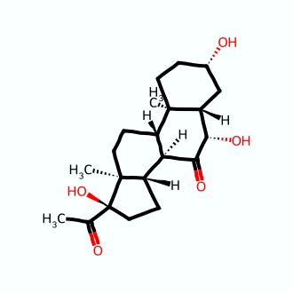 CC(=O)[C@@]1(O)CC[C@H]2[C@@H]3C(=O)[C@@H](O)[C@H]4C[C@@H](O)CC[C@]4(C)[C@H]3CC[C@@]21C